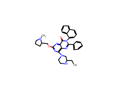 CN1CCCC1COc1nc(N2CCNC(CC#N)C2)c2nc(-c3ccccc3)n(-c3cccc4ccccc34)c(=O)c2n1